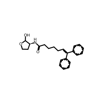 O=C(CCCCC=C(c1ccccc1)c1ccccc1)N[C@H]1CCOC1O